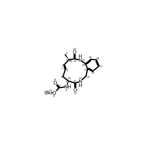 C[C@@H]1/C=C/C[C@H](NC(=O)OC(C)(C)C)C(=O)NCc2ccccc2NC1=O